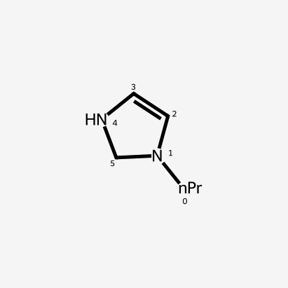 [CH2]CCN1C=CNC1